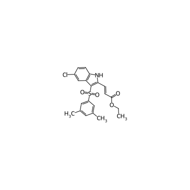 CCOC(=O)/C=C/c1[nH]c2ccc(Cl)cc2c1S(=O)(=O)c1cc(C)cc(C)c1